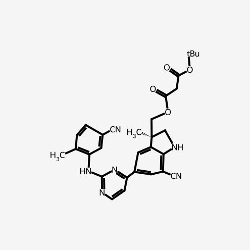 Cc1ccc(C#N)cc1Nc1nccc(-c2cc(C#N)c3c(c2)[C@@](C)(COC(=O)CC(=O)OC(C)(C)C)CN3)n1